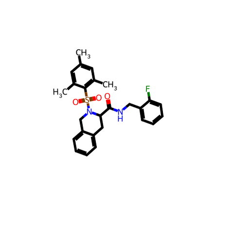 Cc1cc(C)c(S(=O)(=O)N2Cc3ccccc3CC2C(=O)NCc2ccccc2F)c(C)c1